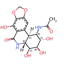 CC(=O)N[C@H]1[C@H](O)[C@@H](O)[C@@H](O)[C@@H]2NC(=O)c3c(cc4c(c3O)OCO4)[C@@H]12